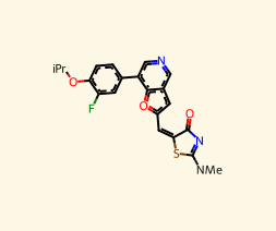 CNC1=NC(=O)/C(=C\c2cc3cncc(-c4ccc(OC(C)C)c(F)c4)c3o2)S1